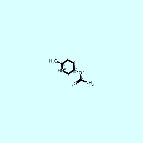 C[C@H]1CC[C@H](OC(N)=O)CN1